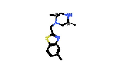 Cc1ccc2sc(CN3C[C@@H](C)NC[C@@H]3C)nc2c1